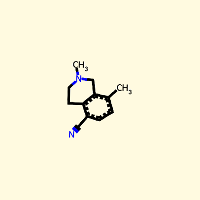 Cc1ccc(C#N)c2c1CN(C)CC2